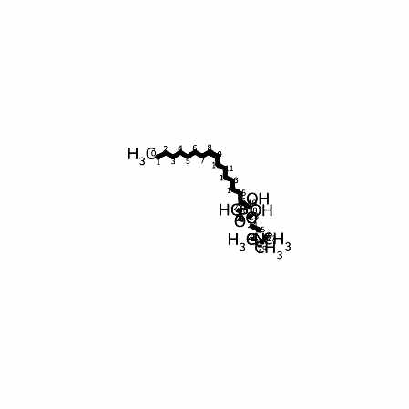 CCCCCCCC/C=C\CCCCCCCC(O)(O)P(=O)(O)OCC[N+](C)(C)C